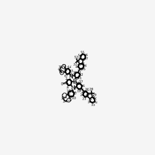 Cc1cc2c3c(c1)N(c1ccc4c(c1)OCCO4)c1cc(-c4ccc5c(c4)C(C)(C)c4ccccc4-5)ccc1B3c1ccc(-c3ccc4c(c3)C(C)(C)c3ccccc3-4)cc1N2c1ccc2c(c1)OCCO2